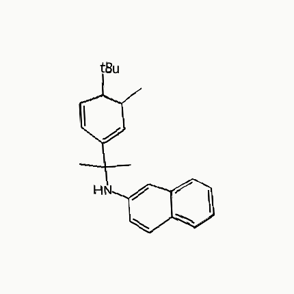 CC1C=C(C(C)(C)Nc2ccc3ccccc3c2)C=CC1C(C)(C)C